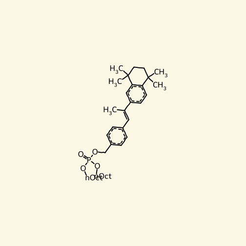 CCCCCCCCOP(=O)(OCCCCCCCC)OCc1ccc(C=C(C)c2ccc3c(c2)C(C)(C)CCC3(C)C)cc1